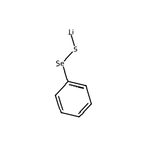 [Li][S][Se]c1ccccc1